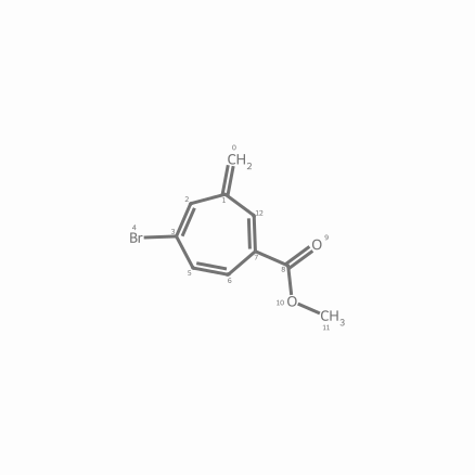 C=C1C=C(Br)C=CC(C(=O)OC)=C1